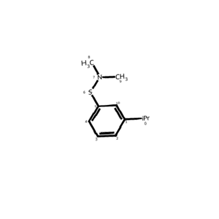 CC(C)c1cccc(SN(C)C)c1